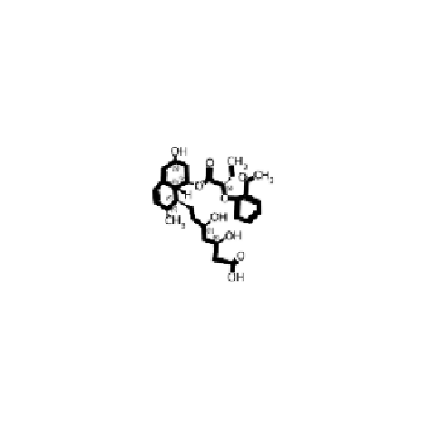 CC[C@H](Oc1ccccc1C(C)=O)C(=O)O[C@H]1C[C@H](O)C=C2C=C[C@@H](C)[C@H](CC[C@@H](O)C[C@@H](O)CC(=O)O)[C@H]21